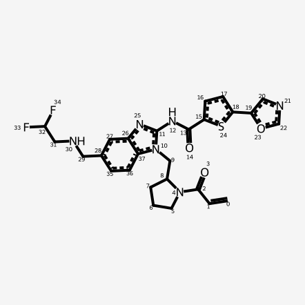 C=CC(=O)N1CCCC1Cn1c(NC(=O)c2ccc(-c3cnco3)s2)nc2cc(CNCC(F)F)ccc21